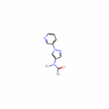 CC(C)C(=O)N(c1cnn(-c2cccnc2)c1)C(C)C